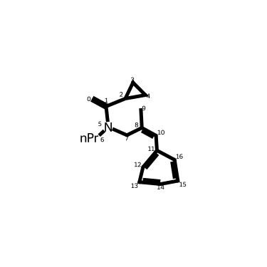 C=C(C1CC1)N(CCC)C/C(C)=C\c1ccccc1